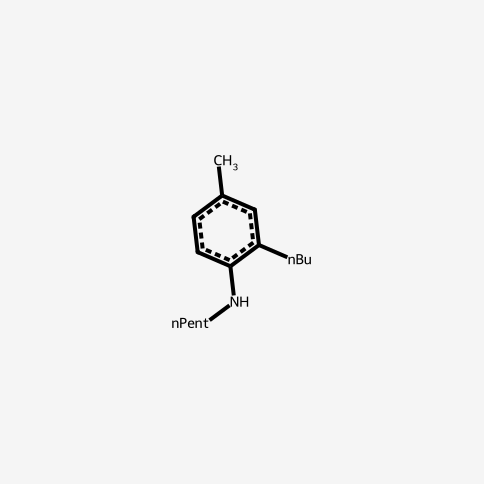 CCCCCNc1ccc(C)cc1CCCC